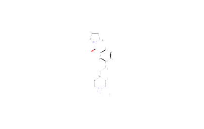 O=C(O)N1CCC(CCc2cccc(C(=O)N3CCCC3)c2)CC1